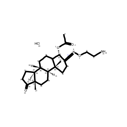 CC(=O)O[C@@H]1/C(=N/OCCN)CC[C@@]2(C)C1CC[C@@H]1[C@@H]2CC[C@]2(C)C(=O)CC[C@@H]12.Cl